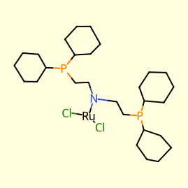 [Cl][Ru]([Cl])[N](CCP(C1CCCCC1)C1CCCCC1)CCP(C1CCCCC1)C1CCCCC1